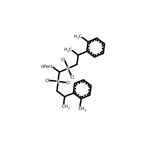 CCCCCC([Si](Cl)(Cl)CC(C)c1ccccc1C)[Si](Cl)(Cl)CC(C)c1ccccc1C